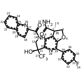 C[C@]1(C(N)=O)COc2c1cc(C(O)(CNC(=O)c1ccc3ccccc3n1)C(F)(F)F)nc2-c1ccc(F)cc1